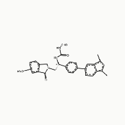 COc1ccc2c(c1)C(=O)N(C[C@H](NC(=O)NC=O)c1ccc(-c3ccc4c(c3)c(C)nn4C)cc1)C2